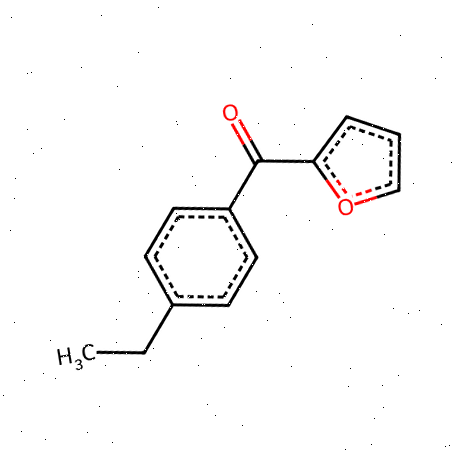 CCc1ccc(C(=O)c2ccco2)cc1